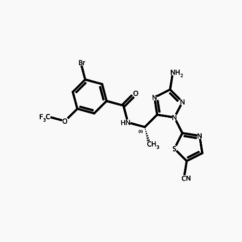 C[C@H](NC(=O)c1cc(Br)cc(OC(F)(F)F)c1)c1nc(N)nn1-c1ncc(C#N)s1